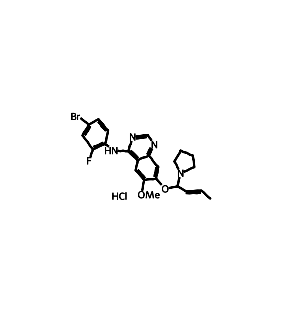 C/C=C/C(Oc1cc2ncnc(Nc3ccc(Br)cc3F)c2cc1OC)N1CCCC1.Cl